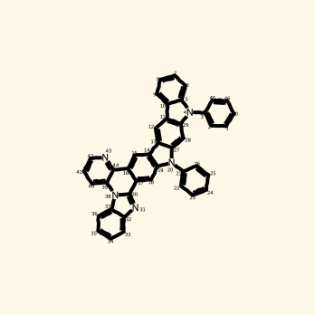 c1ccc(-n2c3ccccc3c3cc4c5cc6c(cc5n(-c5ccccc5)c4cc32)c2nc3ccccc3n2c2cccnc62)cc1